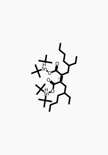 CCCCC(CC)C/C(C(=O)[O][SnH]([C](C)(C)C)[C](C)(C)C)=C(\CC(CC)CCCC)C(=O)[O][SnH]([C](C)(C)C)[C](C)(C)C